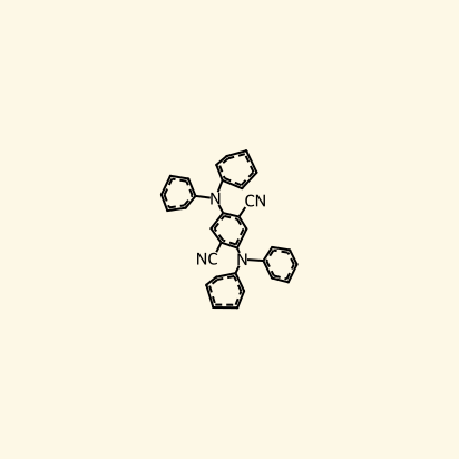 N#Cc1cc(N(c2ccccc2)c2ccccc2)c(C#N)cc1N(c1ccccc1)c1ccccc1